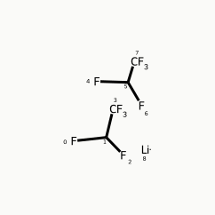 FC(F)C(F)(F)F.FC(F)C(F)(F)F.[Li]